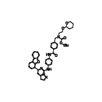 CC(C)(C)OC(=O)N(CCOC1CCCCO1)Cc1ccc(C(=O)Nc2ccc(Nc3nc(-c4cccc5c4oc4ccccc45)cc4ccnn34)cc2)cc1